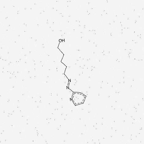 OCCCC[CH]N=Nc1ccccn1